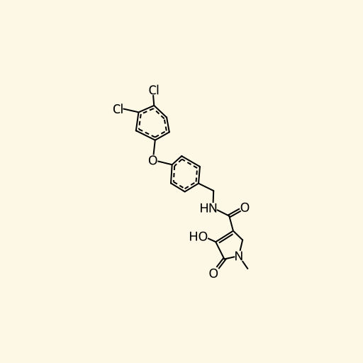 CN1CC(C(=O)NCc2ccc(Oc3ccc(Cl)c(Cl)c3)cc2)=C(O)C1=O